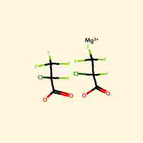 O=C([O-])C(F)(Cl)C(F)(F)F.O=C([O-])C(F)(Cl)C(F)(F)F.[Mg+2]